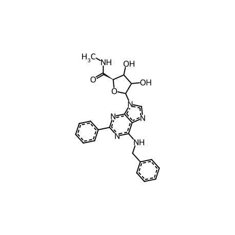 CNC(=O)[C@@H]1OC(n2cnc3c(NCc4ccccc4)nc(-c4ccccc4)nc32)C(O)C1O